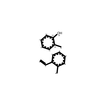 C=Cc1ccccc1C.Cc1ccccc1O